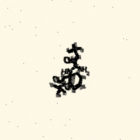 CC(C)(C)CC(=O)C(N)NC1(CS(=O)(=O)C(C)(C)C)CCCCC1